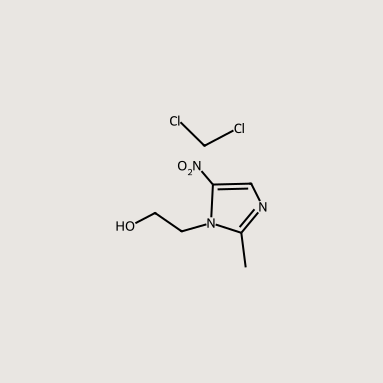 Cc1ncc([N+](=O)[O-])n1CCO.ClCCl